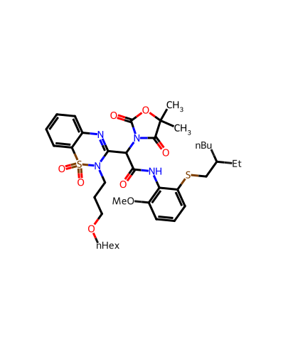 CCCCCCOCCCN1C(C(C(=O)Nc2c(OC)cccc2SCC(CC)CCCC)N2C(=O)OC(C)(C)C2=O)=Nc2ccccc2S1(=O)=O